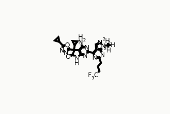 [2H]C([2H])([2H])n1ncc2c(-c3nc(N)c4c(n3)NC(=O)C4(c3nnc(C4CC4)o3)C3CC3)nc(CCCC(F)(F)F)nc21